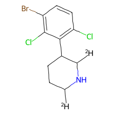 [2H]C1CCC(c2c(Cl)ccc(Br)c2Cl)C([2H])N1